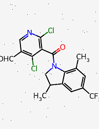 Cc1cc(C(F)(F)F)cc2c1N(C(=O)c1c(Cl)ncc(C=O)c1Cl)CC2C